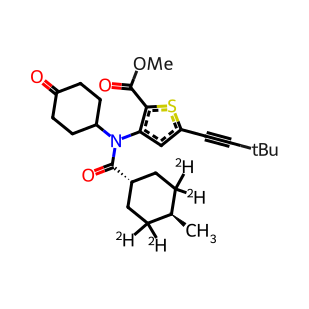 [2H]C1([2H])C[C@H](C(=O)N(c2cc(C#CC(C)(C)C)sc2C(=O)OC)C2CCC(=O)CC2)CC([2H])([2H])[C@H]1C